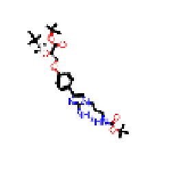 CC(C)(C)OC(=O)NCCCn1cc(-c2ccc(OC[C@@H](O[Si](C)(C)C(C)(C)C)C(=O)OC(C)(C)C)cc2)nc1N